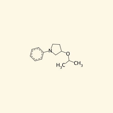 CC(C)OC1CCN(c2ccccc2)C1